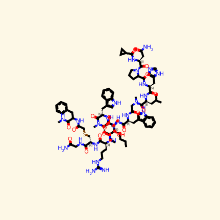 CCCC[C@@H](C(=O)N(C)[C@@H](CCCC)C(=O)N[C@@H](CCCNC(=N)N)C(=O)N[C@@H](CSCC(=O)NC(Cc1ccccc1)C(=O)NC)C(=O)NCC(N)=O)N(C)C(=O)[C@H](Cc1c[nH]c2ccccc12)NC(=O)[C@H](CO)NC(=O)[C@H](Cc1c[nH]c2ccccc12)NC(=O)CN(C)C(=O)[C@H](CC(C)C)NC(=O)[C@H](Cc1cnc[nH]1)NC(=O)C1CCCN1C(=O)[C@H](CC(N)=O)NC(=O)C1CC1